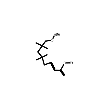 C=C(/C=C/CC(C)(C)CC(C)(C)COCCCC)OCC